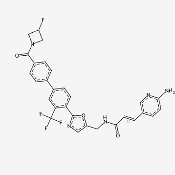 Nc1ccc(/C=C/C(=O)NCc2cnc(-c3ccc(-c4ccc(C(=O)N5CC(F)C5)cc4)cc3C(F)(F)F)o2)cn1